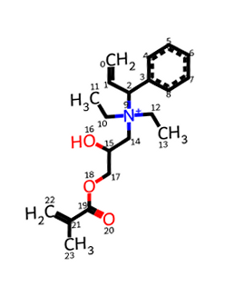 C=CC(c1ccccc1)[N+](CC)(CC)CC(O)COC(=O)C(=C)C